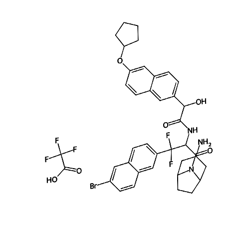 NC1CC2CCC(C1)N2C(=O)C(NC(=O)C(O)c1ccc2cc(OC3CCCC3)ccc2c1)C(F)(F)c1ccc2cc(Br)ccc2c1.O=C(O)C(F)(F)F